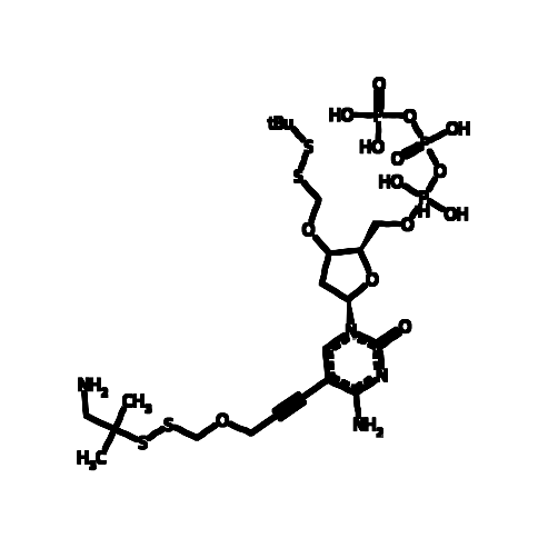 CC(C)(C)SSCOC1C[C@H](n2cc(C#CCOCSSC(C)(C)CN)c(N)nc2=O)O[C@@H]1CO[PH](O)(O)OP(=O)(O)OP(=O)(O)O